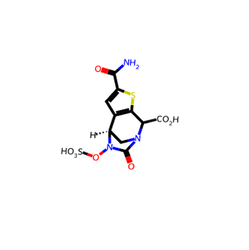 NC(=O)c1cc2c(s1)C(C(=O)O)N1C[C@H]2N(OS(=O)(=O)O)C1=O